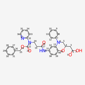 O=C(O)CC1CN(c2ccccc2)c2cc(NC(=O)CCN(C(=O)OCc3ccccc3)c3ccccn3)ccc2O1